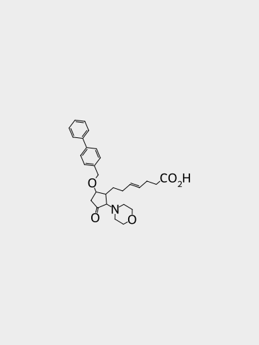 O=C(O)CCC=CCCC1C(OCc2ccc(-c3ccccc3)cc2)CC(=O)C1N1CCOCC1